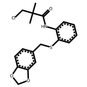 CC(C)(CCl)C(=O)Nc1ccccc1SCc1ccc2c(c1)OCO2